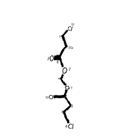 O=C(CCCl)OCOC(=O)CCCl